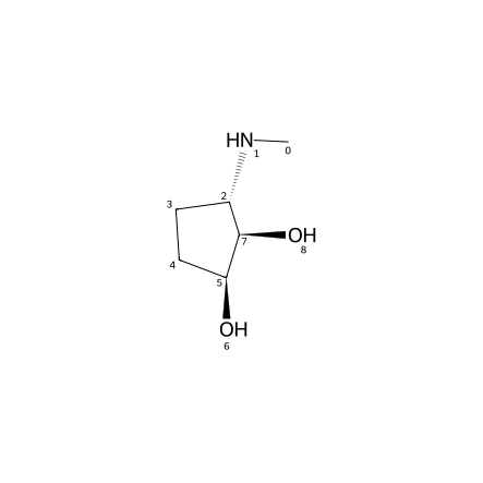 CN[C@H]1CC[C@H](O)[C@@H]1O